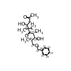 CC(=O)C[C@H](O)C(C)(C)C(=O)[C@H](C)[C@@H](O)[C@@H](C)COCc1ccccc1